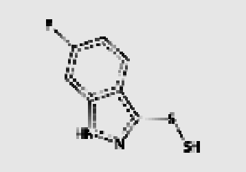 Fc1ccc2c(SS)n[nH]c2c1